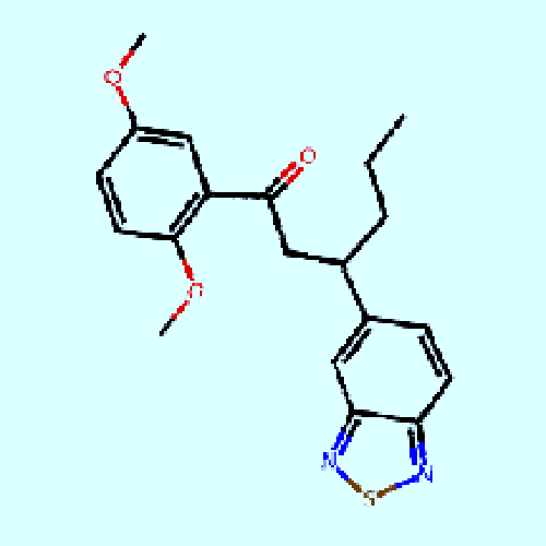 CCCC(CC(=O)c1cc(OC)ccc1OC)c1ccc2nsnc2c1